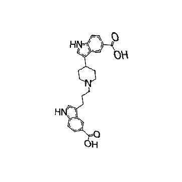 O=C(O)c1ccc2[nH]cc(CCCN3CCC(c4c[nH]c5ccc(C(=O)O)cc45)CC3)c2c1